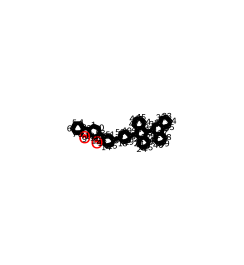 C1=CC2c3ccccc3OC2c2oc3ccc(-c4ccc(-c5c6ccccc6c(-c6cc7ccccc7c7ccccc67)c6ccccc56)cc4)cc3c21